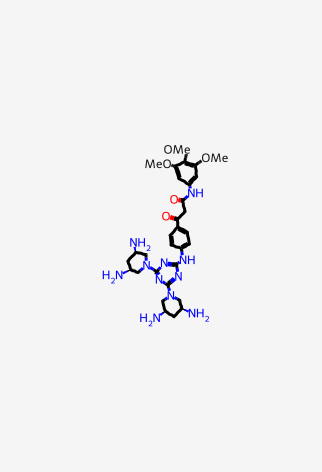 COc1cc(NC(=O)CC(=O)c2ccc(Nc3nc(N4C[C@H](N)C[C@H](N)C4)nc(N4C[C@H](N)C[C@H](N)C4)n3)cc2)cc(OC)c1OC